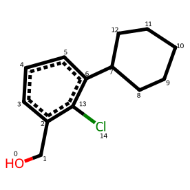 OCc1cccc(C2CCCCC2)c1Cl